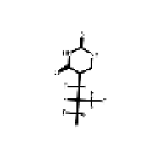 O=C1NC(=S)NCC1C(F)(F)C(F)(C(F)(F)F)C(F)(F)F